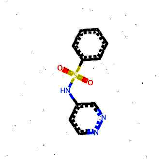 O=S(=O)(Nc1ccnnc1)c1ccccc1